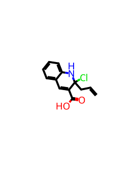 C=CCC1(Cl)Nc2ccccc2C=C1C(=O)O